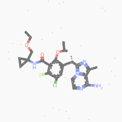 CCOCC1(NC(=O)c2c(F)c(Cl)cc([C@H](C)c3nc(C)c4c(N)nccn34)c2OC(C)C)CC1